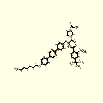 CCCCCCCOc1ccc(-c2cnc(-c3ccc(C[C@H](NC(=O)c4ccc(C(C)(C)C)cc4OC)C(=O)N4CC[C@H](C(=O)O)C4)cc3)nc2)cc1